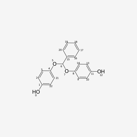 Oc1ccc(OC(Oc2ccc(O)cc2)c2ccccc2)cc1